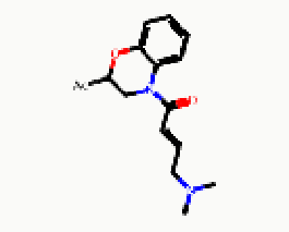 CC(=O)C1CN(C(=O)/C=C/CN(C)C)c2ccccc2O1